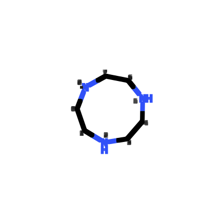 C1CNCCNCC[N]1